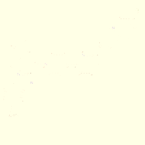 CC(=O)Nc1ccc2c(c1)nc(CN1CCC(c3cccc(OCc4ccc(Cl)cn4)n3)CC1)n2CC1CCO1